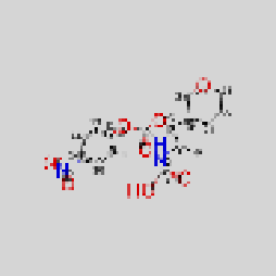 CC(NC(=O)O)[C@H](OC(=O)Oc1ccc([N+](=O)[O-])cc1)[C@@H]1CCCOC1